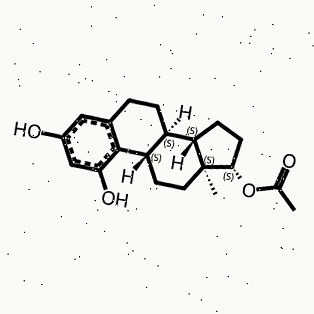 CC(=O)O[C@H]1CC[C@H]2[C@@H]3CCc4cc(O)cc(O)c4[C@H]3CC[C@]12C